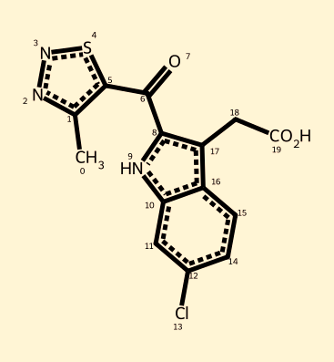 Cc1nnsc1C(=O)c1[nH]c2cc(Cl)ccc2c1CC(=O)O